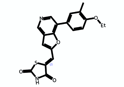 CCOc1ccc(-c2cncc3cc(/C=C4\SC(=O)NC4=O)oc23)cc1C